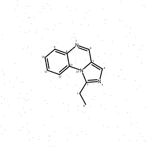 CCc1ncc2cnc3ccccc3n12